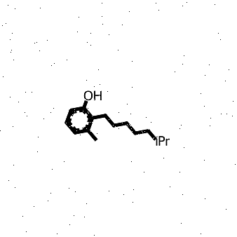 Cc1cccc(O)c1CCCCCC(C)C